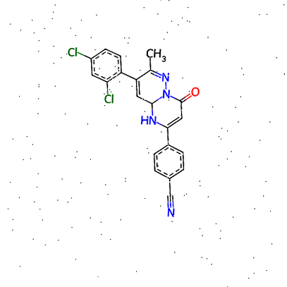 CC1=NN2C(=O)C=C(c3ccc(C#N)cc3)NC2C=C1c1ccc(Cl)cc1Cl